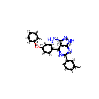 Cc1cccc(-c2nc(-c3ccc(Oc4ccccc4)cc3)c3c(N)n[nH]c3n2)c1